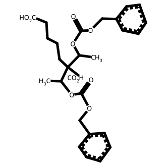 CC(OC(=O)OCc1ccccc1)C(CCCCC(=O)O)(C(=O)O)C(C)OC(=O)OCc1ccccc1